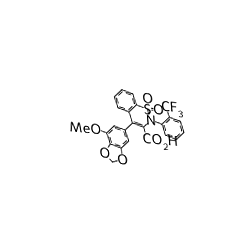 COc1cc(C2=C(C(=O)O)N(c3ccccc3C(F)(F)F)S(=O)(=O)c3ccccc32)cc2c1OCO2